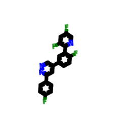 Fc1ccc(-c2cc(-c3ccc(F)c(-c4ncc(F)cc4F)c3)cnn2)cc1